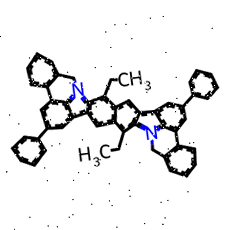 CCc1c2cc3c4cc(-c5ccccc5)cc5c4n(c3c(CC)c2cc2c3cc(-c4ccccc4)cc4c3n(c12)Cc1ccccc1-4)Cc1ccccc1-5